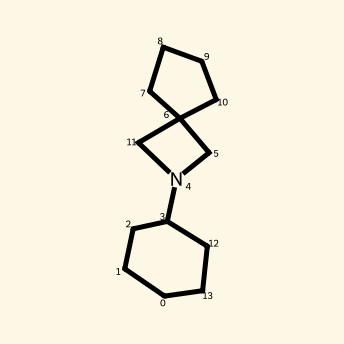 C1CCC(N2CC3(CCCC3)C2)CC1